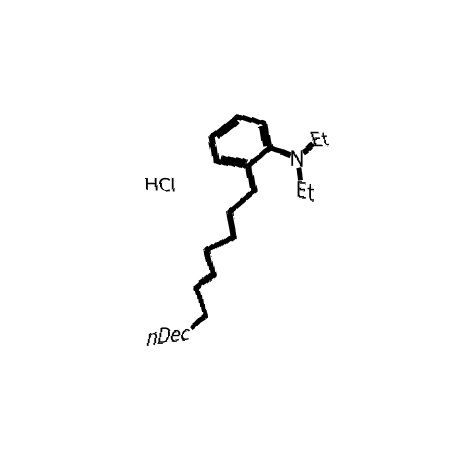 CCCCCCCCCCCCCCCCCc1ccccc1N(CC)CC.Cl